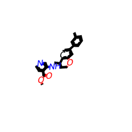 COC(=O)c1ccncc1NCC1CCOc2cc(-c3cccc(C)c3)ccc21